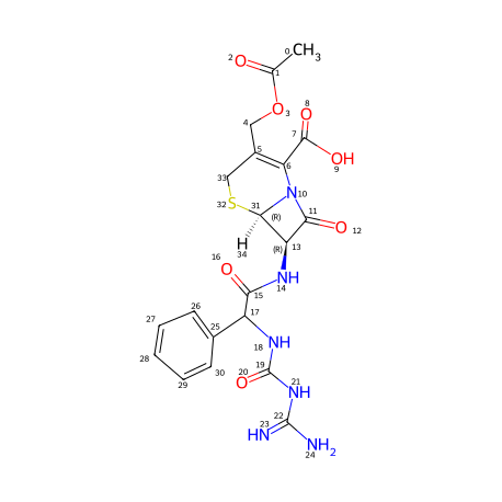 CC(=O)OCC1=C(C(=O)O)N2C(=O)[C@@H](NC(=O)C(NC(=O)NC(=N)N)c3ccccc3)[C@H]2SC1